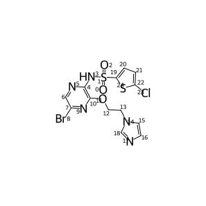 O=S(=O)(Nc1ncc(Br)nc1OCCn1ccnc1)c1ccc(Cl)s1